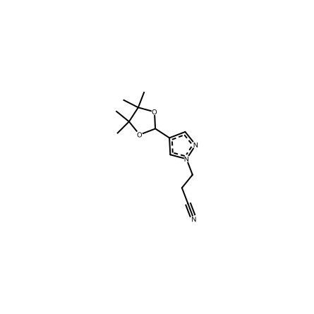 CC1(C)OC(c2cnn(CCC#N)c2)OC1(C)C